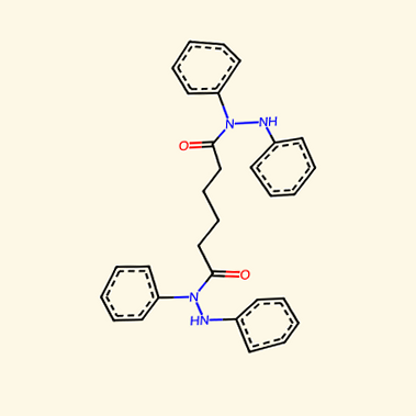 O=C(CCCCC(=O)N(Nc1ccccc1)c1ccccc1)N(Nc1ccccc1)c1ccccc1